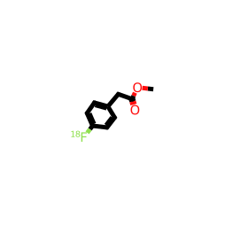 COC(=O)Cc1ccc([18F])cc1